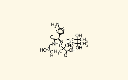 CC(C)(O)C(C)(C)O.CC(C)(ON=C(C(=O)NCB(O)O)c1csc(N)n1)C(=O)O